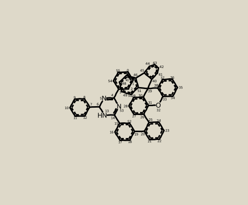 c1ccc(C2=NC(c3ccccc3)NC(c3cccc(-c4ccccc4-c4cccc5c4Oc4ccccc4C54c5ccccc5-c5ccccc54)c3)=N2)cc1